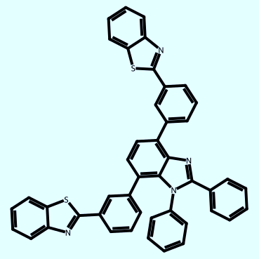 c1ccc(-c2nc3c(-c4cccc(-c5nc6ccccc6s5)c4)ccc(-c4cccc(-c5nc6ccccc6s5)c4)c3n2-c2ccccc2)cc1